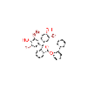 O=C1OC(c2cc(Br)c(O)c(Br)c2)(c2cc(Br)c(O)c(Br)c2)c2ccccc21.c1ccc(-c2ccccc2)cc1